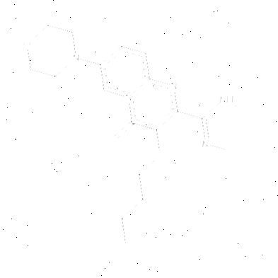 CCCCOc1c(/C(N)=N/O)nc2ccc(N3CCOCC3)cn2c1=O